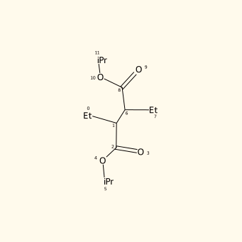 CCC(C(=O)OC(C)C)C(CC)C(=O)OC(C)C